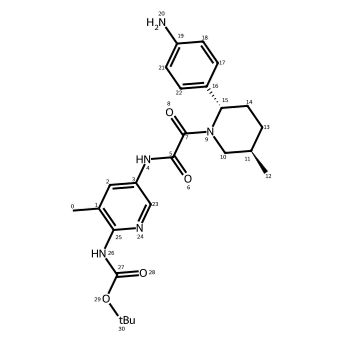 Cc1cc(NC(=O)C(=O)N2C[C@H](C)CC[C@H]2c2ccc(N)cc2)cnc1NC(=O)OC(C)(C)C